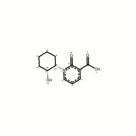 O=C(O)c1cccn([C@H]2CCCC[C@H]2O)c1=O